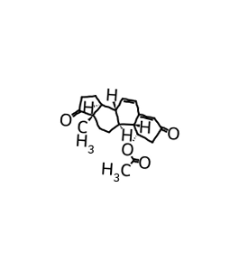 CC(=O)O[C@H]1CC(=O)C=C2C=C[C@@H]3[C@H](CC[C@]4(C)C(=O)CC[C@@H]34)[C@H]21